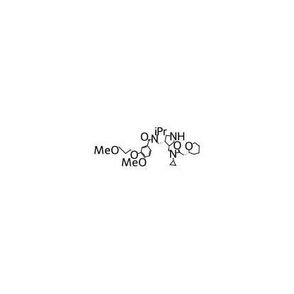 COCCCOc1cc(C(=O)N(C[C@@H]2CNC[C@H]2CN(C(=O)C[C@H]2CCCCO2)C2CC2)C(C)C)ccc1OC